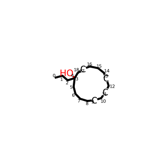 CCCC1(O)CCCCCCCCCCCCCC1